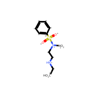 O=C(O)CNCCN([N+](=O)[O-])S(=O)(=O)c1ccccc1